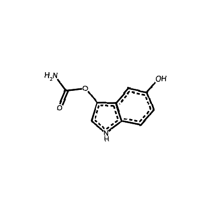 NC(=O)Oc1c[nH]c2ccc(O)cc12